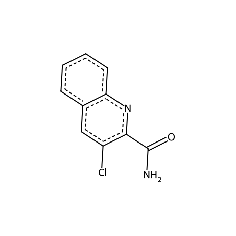 NC(=O)c1nc2ccccc2cc1Cl